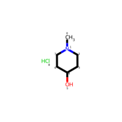 CN1CCC(O)CC1.Cl